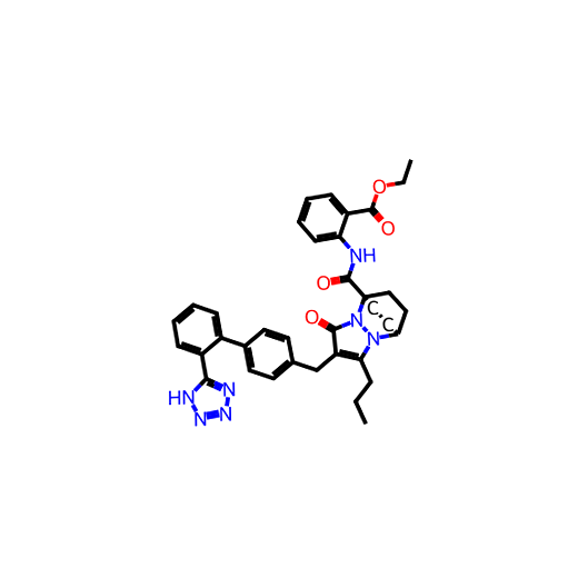 CCCc1c(Cc2ccc(-c3ccccc3-c3nnn[nH]3)cc2)c(=O)n2n1C1CCC2(C(=O)Nc2ccccc2C(=O)OCC)CC1